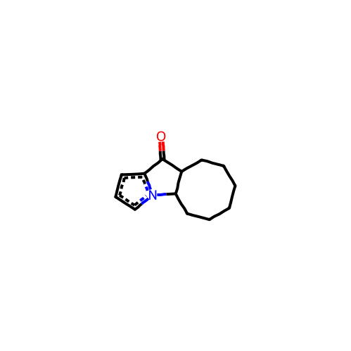 O=C1c2cccn2C2CCCCCCC12